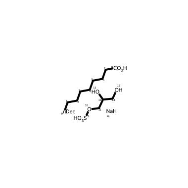 CCCCCCCCCCCCCCCCCC(=O)O.O=S(=O)(O)OCC(O)CO.[NaH]